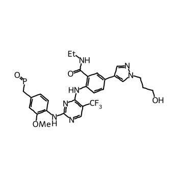 CCNC(=O)c1cc(-c2cnn(CCCO)c2)ccc1Nc1nc(Nc2ccc(CP=O)cc2OC)ncc1C(F)(F)F